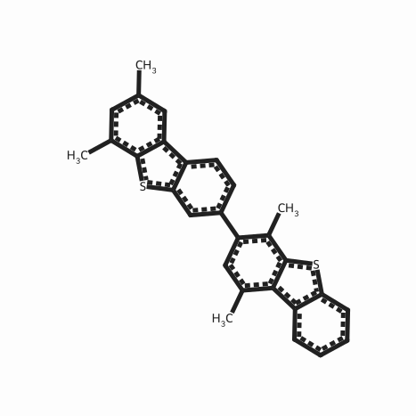 Cc1cc(C)c2sc3cc(-c4cc(C)c5c(sc6ccccc65)c4C)ccc3c2c1